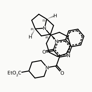 CCOC(=O)C1CCN(C(=O)c2nc3ccccc3n([C@H]3C[C@H]4CC[C@@H](C3)N4C3CCCCCCC3)c2=O)CC1